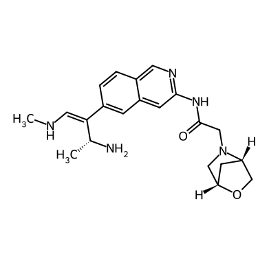 CN/C=C(/c1ccc2cnc(NC(=O)CN3C[C@@H]4C[C@H]3CO4)cc2c1)[C@@H](C)N